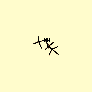 CC(C)(C)NS(C)(C)C(C)(C)C